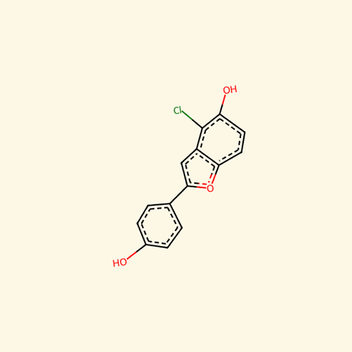 Oc1ccc(-c2cc3c(Cl)c(O)ccc3o2)cc1